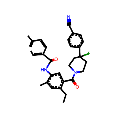 C=C(C)/C=C\C(=C/C)C(=O)Nc1cc(C(=O)N2CCC(F)(c3ccc(C#N)cc3)CC2)c(CC)cc1C